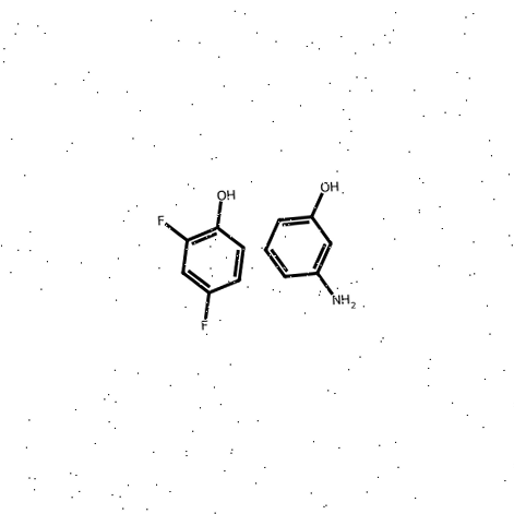 Nc1cccc(O)c1.Oc1ccc(F)cc1F